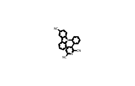 N#Cc1ccc2c(c1)c1ccccc1n2-c1ccccc1-c1ccc(C#N)nc1C#N